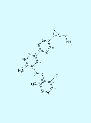 NC[C@H]1C[C]1c1ccc(-c2cnc(N)c(OCc3c(Cl)cccc3Cl)c2)cc1